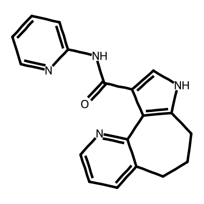 O=C(Nc1ccccn1)c1c[nH]c2c1-c1ncccc1CCC2